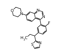 CCC(c1ccc(F)c(-c2ncnc3cc(N4CCOCC4)ccc23)c1)c1nccs1